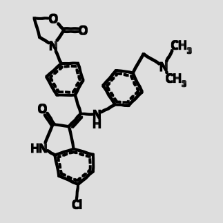 CN(C)Cc1ccc(NC(=C2C(=O)Nc3cc(Cl)ccc32)c2ccc(N3CCOC3=O)cc2)cc1